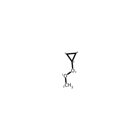 COOC1CC1